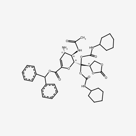 CC(=O)N[C@H]1[C@H](C(OC(=O)NC2CCCCC2)(OC(=O)NC2CCCCC2)[C@H]2COC(=O)O2)OC(C(=O)OC(c2ccccc2)c2ccccc2)=C[C@@H]1N